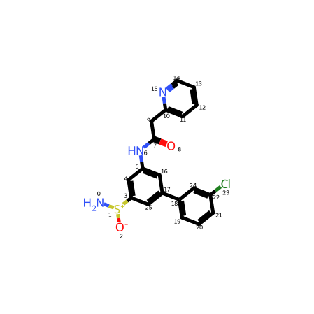 N[S+]([O-])c1cc(NC(=O)Cc2ccccn2)cc(-c2cccc(Cl)c2)c1